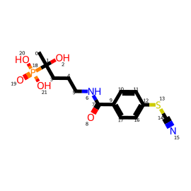 CC(O)(CCCNC(=O)c1ccc(SC#N)cc1)P(=O)(O)O